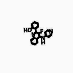 Oc1ccccc1-c1nc2ccccc2c(Nc2ccncc2)c1F